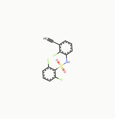 C#Cc1cccc(NS(=O)(=O)c2c(F)cccc2F)c1F